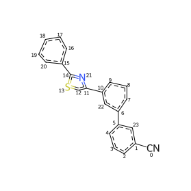 N#Cc1cccc(-c2cccc(-c3csc(-c4ccccc4)n3)c2)c1